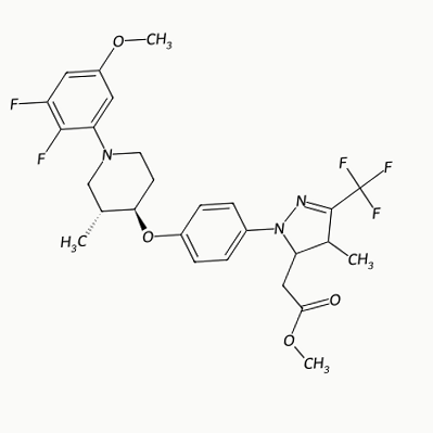 COC(=O)CC1C(C)C(C(F)(F)F)=NN1c1ccc(O[C@@H]2CCN(c3cc(OC)cc(F)c3F)C[C@H]2C)cc1